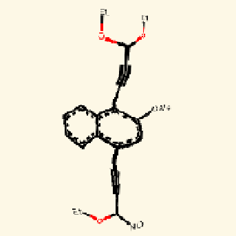 CCOC(C#Cc1cc(OC)c(C#CC(OCC)OCC)c2ccccc12)N=O